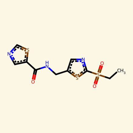 CCS(=O)(=O)c1ncc(CNC(=O)c2cncs2)s1